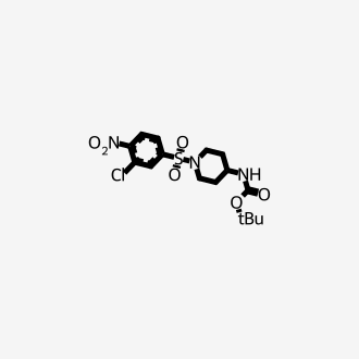 CC(C)(C)OC(=O)NC1CCN(S(=O)(=O)c2ccc([N+](=O)[O-])c(Cl)c2)CC1